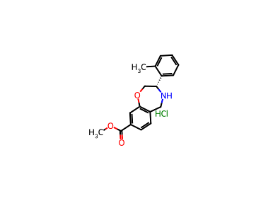 COC(=O)c1ccc2c(c1)OC[C@H](c1ccccc1C)NC2.Cl